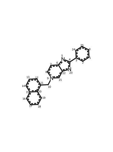 c1ccc(-c2nc3ccn(Cc4cccc5ccccc45)cc-3n2)cc1